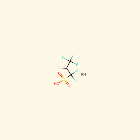 O=S(=O)(O)C(F)(F)C(F)C(F)(F)F.[KH]